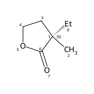 CC[C@@]1(C)CCOC1=O